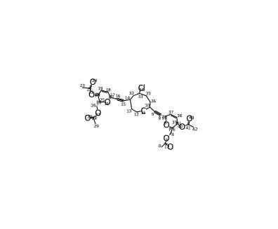 CC(=O)OC[C@H]1O[C@H](C#CC2CCCC(C#C[C@@H]3C=C[C@H](OC(C)=O)[C@@H](COC(C)=O)O3)CC(Cl)CC2)C=C[C@@H]1OC(C)=O